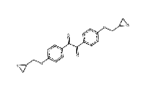 O=C(C(=O)c1ccc(OCC2CO2)cc1)c1ccc(OCC2CO2)cc1